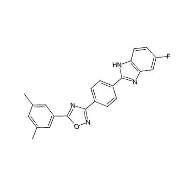 Cc1cc(C)cc(-c2nc(-c3ccc(-c4nc5cc(F)ccc5[nH]4)cc3)no2)c1